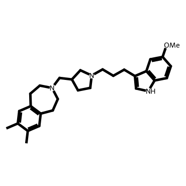 COc1ccc2[nH]cc(CCCN3CCC(CN4CCc5cc(C)c(C)cc5CC4)C3)c2c1